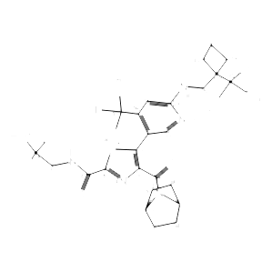 CC(C)(O)CNC(=O)c1nc(C(=O)N2C3CCC2CC3)c(-c2cnc(NCC3(C(F)(F)F)CCC3)cc2C(F)(F)F)s1